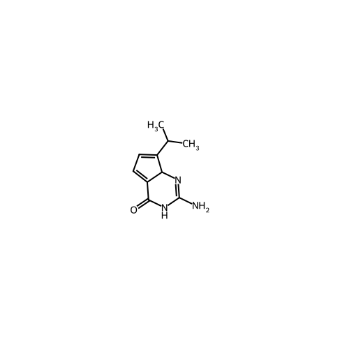 CC(C)C1=CC=C2C(=O)NC(N)=NC21